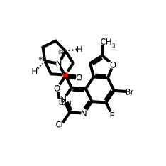 Cc1cc2c(o1)c(Br)c(F)c1nc(Cl)nc(N3C[C@H]4CC[C@@H](C3)N4C(=O)OC(C)(C)C)c12